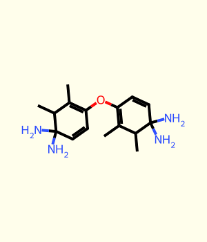 CC1=C(OC2=C(C)C(C)C(N)(N)C=C2)C=CC(N)(N)C1C